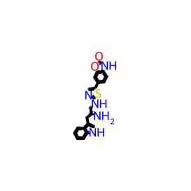 N[C@H](CNc1ncc(-c2ccc3[nH]c(=O)oc3c2)s1)Cc1c[nH]c2ccccc12